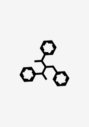 CC(c1ccccc1)C(Cc1ccccc1)C(C)c1ccccc1